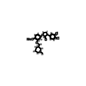 COc1ccc(N2CCC(c3ccc(Cl)c(Cl)c3)C2=O)cc1OCC1CCCN(C)C1